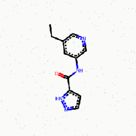 CCc1cncc(NC(=O)c2ccn[nH]2)c1